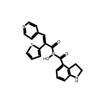 O=C(C(=Cc1ccncc1)c1cccs1)N(O)C(=O)c1cccc2c1CCN2